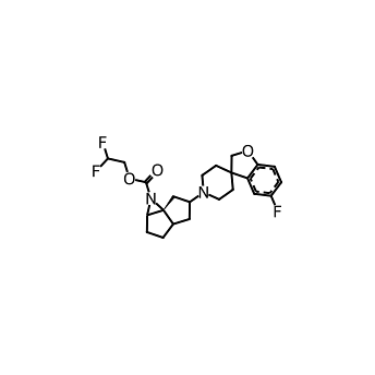 O=C(OCC(F)F)N1C2CCC3CC(N4CCC5(CC4)COc4ccc(F)cc45)C[C@@]321